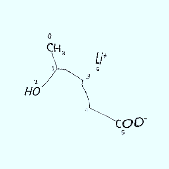 CC(O)CCC(=O)[O-].[Li+]